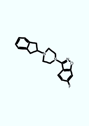 Fc1ccc2c(N3CCN(C4Cc5ccccc5C4)CC3)noc2c1